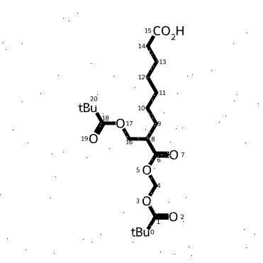 CC(C)(C)C(=O)OCOC(=O)C(CCCCCCC(=O)O)COC(=O)C(C)(C)C